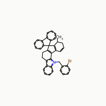 CC1CC=CC2=C1C1(C3=C2c2c(c4ccccc4n2Cc2ccccc2Br)CC3)c2ccccc2-c2ccccc21